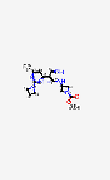 CC(C)(C)OC(=O)N1CC(N/C=C(\C=N)c2cc(C(F)(F)F)nc(N3CCC3)n2)C1